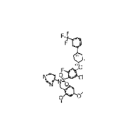 COc1ccc(CN(c2ccncn2)S(=O)(=O)c2cc(Cl)c(O[C@H]3[CH]C[C@H](c4cccc(C(F)(F)F)c4)CC3)cc2F)c(OC)c1